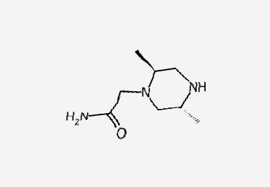 C[C@@H]1CN(CC(N)=O)[C@@H](C)CN1